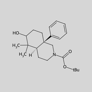 CC(C)(C)OC(=O)N1CC[C@H]2C(C)(C)C(O)CC[C@]2(c2ccccc2)C1